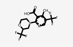 Cc1c(C(F)(F)F)cnc(N2CCOC(C(F)(F)F)C2)c1C(=O)O